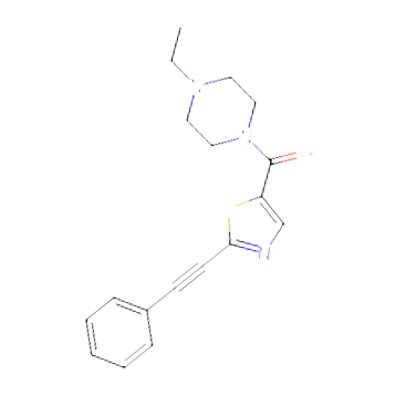 CCN1CCN(C(=O)c2cnc(C#Cc3ccccc3)s2)CC1